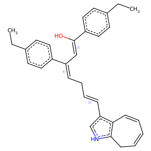 CCc1ccc(/C(O)=C/C(=C\C/C=C/c2c[nH]c3c2C=CC=CC3)c2ccc(CC)cc2)cc1